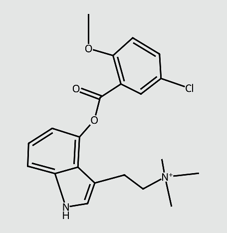 COc1ccc(Cl)cc1C(=O)Oc1cccc2[nH]cc(CC[N+](C)(C)C)c12